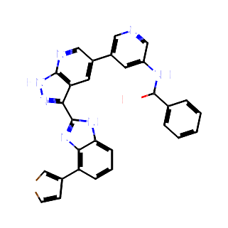 OC(Nc1cncc(-c2cnc3[nH]nc(-c4nc5c(-c6ccsc6)cccc5[nH]4)c3c2)c1)c1ccccc1